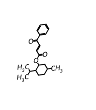 CC1CCC(C(C)C)C(OC(=O)/C=C/C(=O)c2ccccc2)C1